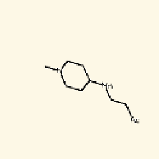 CC(=O)CCNC1CCN(C)CC1